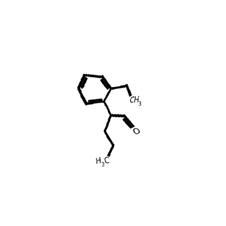 CCCC(C=O)c1ccccc1CC